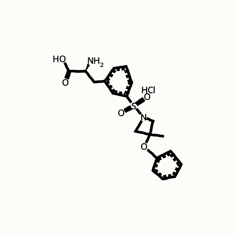 CC1(Oc2ccccc2)CN(S(=O)(=O)c2cccc(C[C@H](N)C(=O)O)c2)C1.Cl